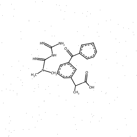 CC(C(=O)O)c1cccc(C(=O)c2ccccc2)c1.CN(C)C(=N)NC(=N)N